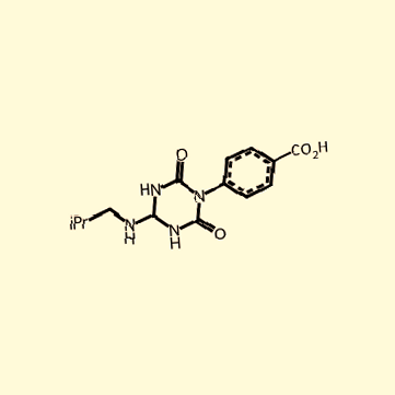 CC(C)CNC1NC(=O)N(c2ccc(C(=O)O)cc2)C(=O)N1